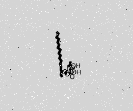 CCCCCCCCCCCCCCCC(CC)OOC(=O)P(=O)(O)OCC(C)O